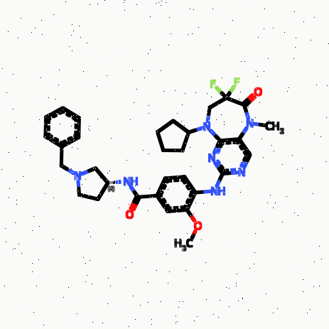 COc1cc(C(=O)N[C@@H]2CCN(Cc3ccccc3)C2)ccc1Nc1ncc2c(n1)N(C1CCCC1)CC(F)(F)C(=O)N2C